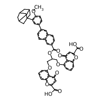 COc1ccc(-c2ccc3cc(C(=O)OC(COc4cccc5oc(C(=O)O)cc(=O)c45)COc4cccc5oc(C(=O)O)cc(=O)c45)ccc3c2)cc1C12CC3CC(CC(C3)C1)C2